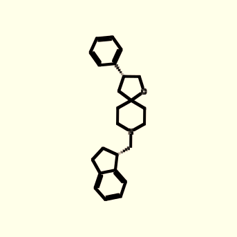 c1ccc([C@@H]2COC3(CCN(C[C@H]4CCc5ccccc54)CC3)C2)cc1